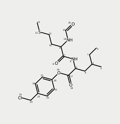 CCC(C)CC(NC(=O)C(CCSC)NC=O)C(=O)Oc1ccc(CCl)cc1